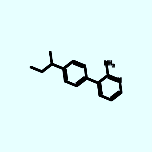 CCC(C)c1ccc(-c2cccnc2N)cc1